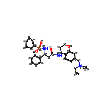 CC(C)CN(C)Cc1ccc2c(c1)OCCC2NC(=O)CC(NS(=O)(=O)c1ccccc1)c1ccccc1